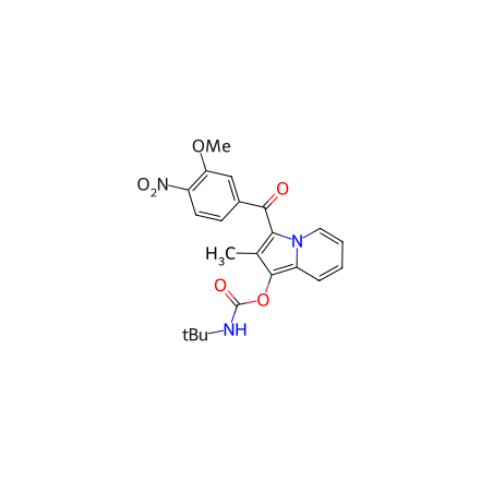 COc1cc(C(=O)c2c(C)c(OC(=O)NC(C)(C)C)c3ccccn23)ccc1[N+](=O)[O-]